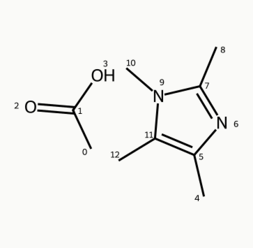 CC(=O)O.Cc1nc(C)n(C)c1C